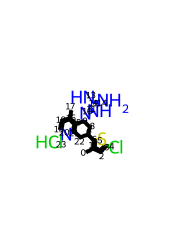 Cc1cc(Cl)sc1C1CC(=NNC(=N)N)c2c(C)ccnc2C1.Cl